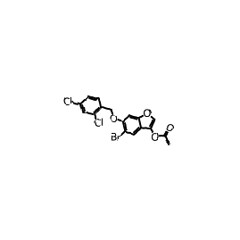 CC(=O)Oc1coc2cc(OCc3ccc(Cl)cc3Cl)c(Br)cc12